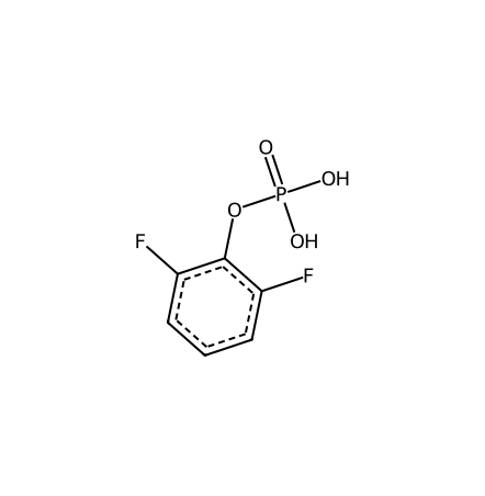 O=P(O)(O)Oc1c(F)cccc1F